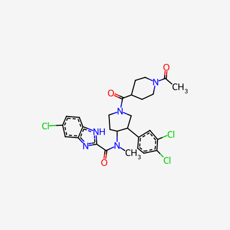 CC(=O)N1CCC(C(=O)N2CCC(N(C)C(=O)c3nc4cc(Cl)ccc4[nH]3)C(c3ccc(Cl)c(Cl)c3)C2)CC1